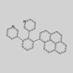 c1cncc(-c2cccc(-c3ccc4ccc5cccc6ccc3c4c56)c2-c2cccnc2)c1